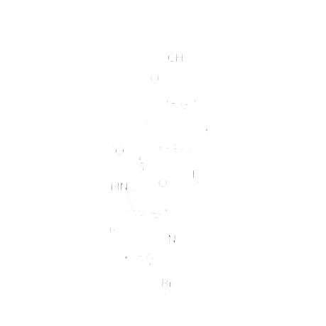 COc1ccc(F)c(S(=O)(=O)Nc2ccc(Br)nc2)c1